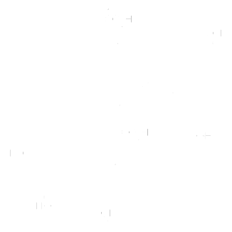 Cc1cccc(O)c1O.O=C(O)c1ccc(C(=O)O)c(CCO)c1CCO